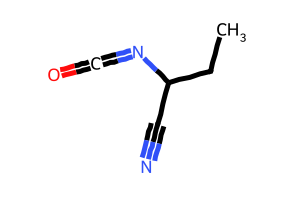 CCC(C#N)N=C=O